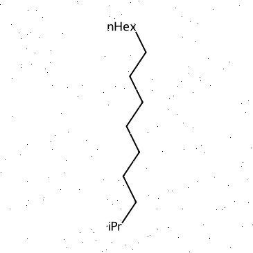 CCCCCCCCCCCCC[C](C)C